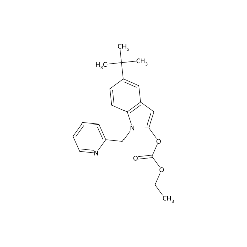 CCOC(=O)Oc1cc2cc(C(C)(C)C)ccc2n1Cc1ccccn1